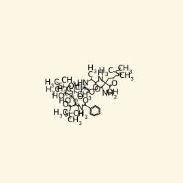 CC(NC(=O)CO[C@H]([C@@H](NC(=O)c1ccccc1)C(=O)[Si](C)(C)C)[C@](O)([C@H](O)C(O)[Si](C)(C)C)[Si](C)(C)C)C(=O)NC(CC[Si](C)(C)C)(C(N)=O)C(=O)O